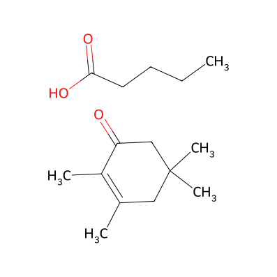 CC1=C(C)C(=O)CC(C)(C)C1.CCCCC(=O)O